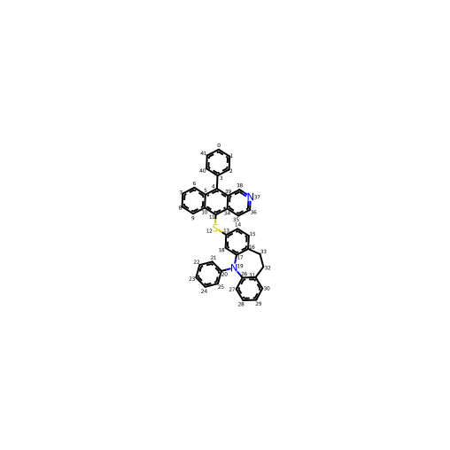 c1ccc(-c2c3ccccc3c(Sc3ccc4c(c3)N(c3ccccc3)c3ccccc3CC4)c3ccncc23)cc1